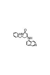 O=C1C=C(Nc2cccc3cnccc23)CC(Cc2ccccc2)N1